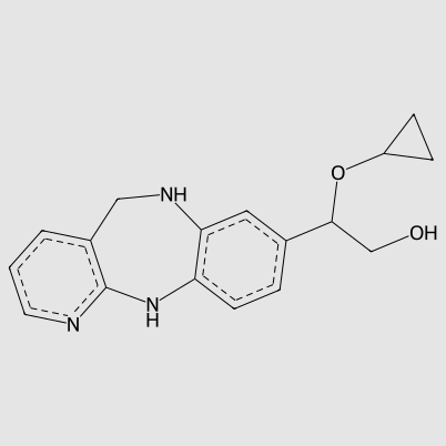 OCC(OC1CC1)c1ccc2c(c1)NCc1cccnc1N2